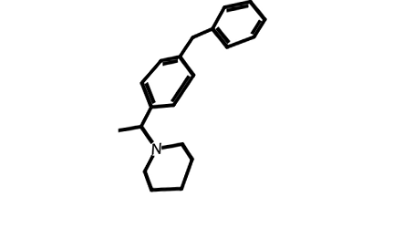 CC(c1ccc(Cc2ccccc2)cc1)N1CCCCC1